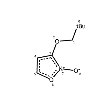 CC(C)(C)COc1cco[n+]1[O-]